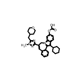 Cn1nc(C2=Cc3ccccc3-c3c(C4CCCCC4)c4ccc(OC(=O)O)cc4n3C2)nc1CC1CCOCC1